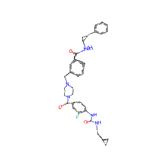 O=C(NCC1CC1)Nc1ccc(C(=O)N2CCN(Cc3cccc(C(=O)NC4CC4c4ccccc4)c3)CC2)cc1F